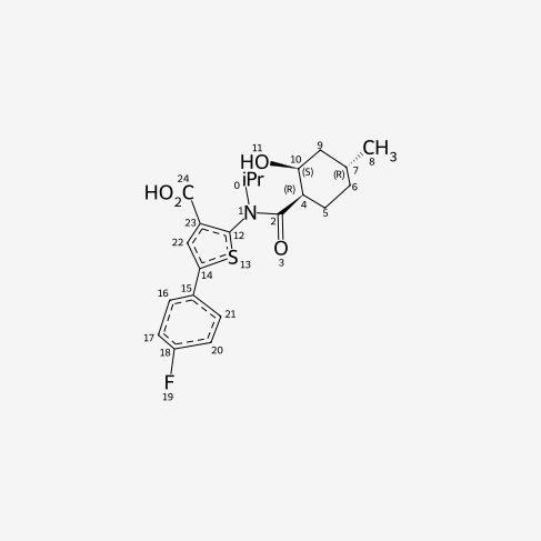 CC(C)N(C(=O)[C@@H]1CC[C@@H](C)C[C@@H]1O)c1sc(-c2ccc(F)cc2)cc1C(=O)O